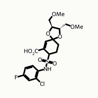 COC[C@@H]1OC2(C=C(C(=O)O)C(S(=O)(=O)Nc3ccc(F)cc3Cl)CC2)O[C@H]1COC